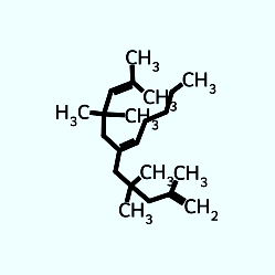 C=C(C)CC(C)(C)CC(=CCCCC)CC(C)(C)C=C(C)C